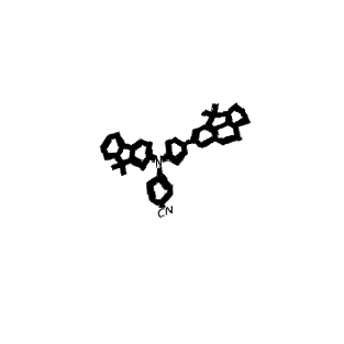 CC1(C)c2ccccc2-c2ccc(N(c3ccc(C#N)cc3)c3ccc(-c4cc5c6c(ccc7cccc(c76)C5(C)C)c4)cc3)cc21